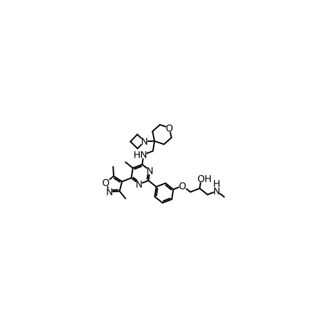 CNCC(O)COc1cccc(-c2nc(NCC3(N4CCC4)CCOCC3)c(C)c(-c3c(C)noc3C)n2)c1